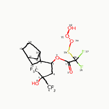 O=C(OC(CC(O)(C(F)(F)F)C(F)(F)F)C1CC2CCC1C2)C(F)(F)SOOO